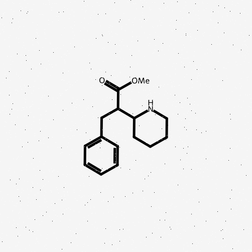 COC(=O)C(Cc1ccccc1)C1CCCCN1